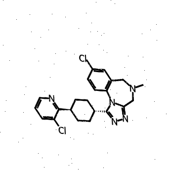 CN1Cc2cc(Cl)ccc2-n2c(nnc2[C@H]2CC[C@H](c3ncccc3Cl)CC2)C1